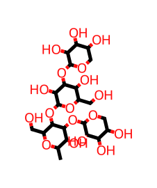 CC1OC(CO)C(OC2OC(CO)C(O)C(OC3OCC(O)C(O)C3O)C2O)C(OC2OCC(O)C(O)C2O)C1O